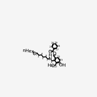 CCCCCCOCCCCCCNCc1c(COC(=O)c2ccccc2)ccc(O)c1CO